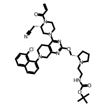 C=CC(=O)N1CCN(c2nc(OC[C@@H]3CCCN3CCNC(=O)OC(C)(C)C)nc3c2CCN(c2cccc4cccc(Cl)c24)C3)C[C@@H]1CC#N